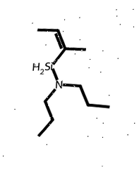 CC=C(C)[SiH2]N(CCC)CCC